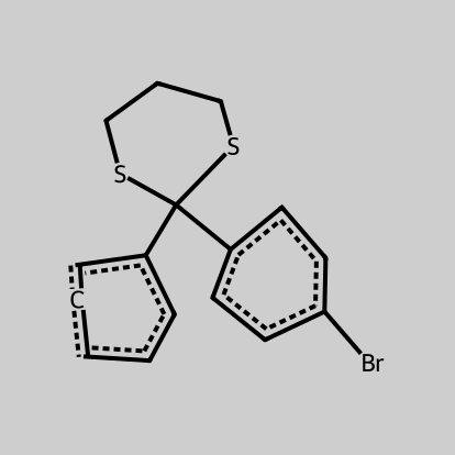 Brc1ccc(C2(c3ccccc3)SCCCS2)cc1